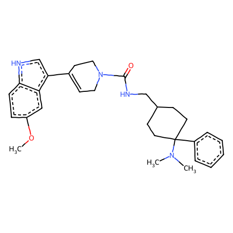 COc1ccc2[nH]cc(C3=CCN(C(=O)NCC4CCC(c5ccccc5)(N(C)C)CC4)CC3)c2c1